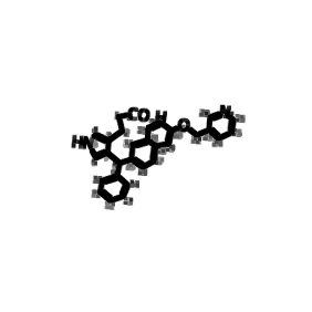 O=C(O)CCc1c[nH]cc1C(c1ccccc1)c1ccc2cc(OCc3cccnc3)ccc2c1